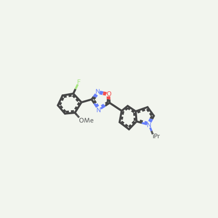 COc1cccc(F)c1-c1noc(-c2ccc3c(ccn3C(C)C)c2)n1